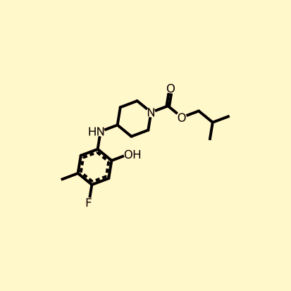 Cc1cc(NC2CCN(C(=O)OCC(C)C)CC2)c(O)cc1F